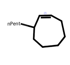 CC[CH]CCC1/C=C\CCCCC1